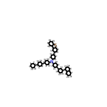 c1ccc(-c2ccc(-c3ccc(N(c4ccc(-c5cccc(-c6cccc7ccccc67)c5)cc4)c4ccc(-c5ccc6sc7ccccc7c6c5)cc4)cc3)cc2)cc1